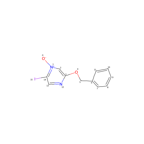 [O-][n+]1cc(OCc2ccccc2)ncc1I